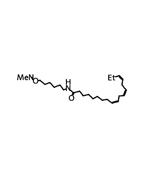 CC/C=C\C/C=C\C/C=C\CCCCCCCC(=O)NCCCCCCONC